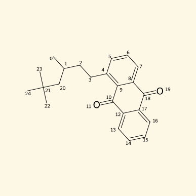 CC(CCc1cccc2c1C(=O)c1ccccc1C2=O)CC(C)(C)C